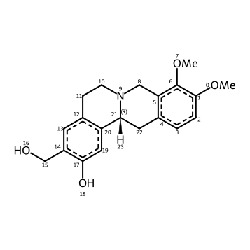 COc1ccc2c(c1OC)CN1CCc3cc(CO)c(O)cc3[C@H]1C2